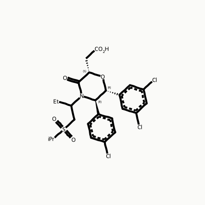 CCC(CS(=O)(=O)C(C)C)N1C(=O)[C@H](CC(=O)O)O[C@H](c2cc(Cl)cc(Cl)c2)[C@H]1c1ccc(Cl)cc1